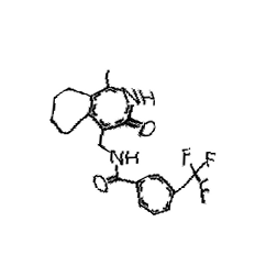 Cc1[nH]c(=O)c(CNC(=O)c2cccc(C(F)(F)F)c2)c2c1CCCC2